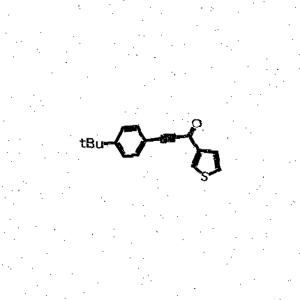 CC(C)(C)c1ccc(C#CC(=O)c2ccsc2)cc1